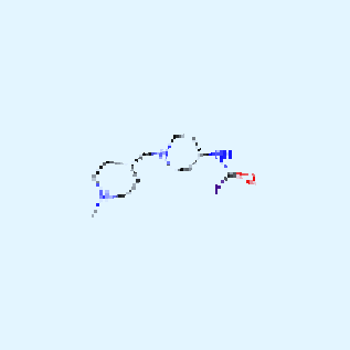 CN1CCC(CN2CCC(NC(=O)I)CC2)CC1